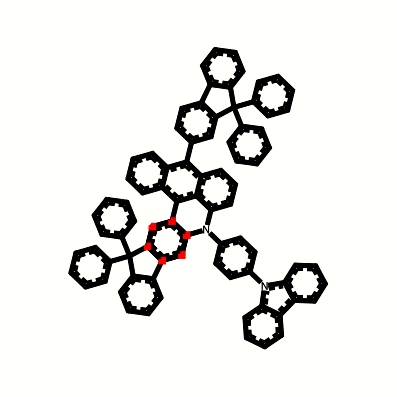 c1ccc(N(c2ccc(-n3c4ccccc4c4ccccc43)cc2)c2cccc3c(-c4ccc5c(c4)C(c4ccccc4)(c4ccccc4)c4ccccc4-5)c4ccccc4c(-c4ccc5c(c4)C(c4ccccc4)(c4ccccc4)c4ccccc4-5)c23)cc1